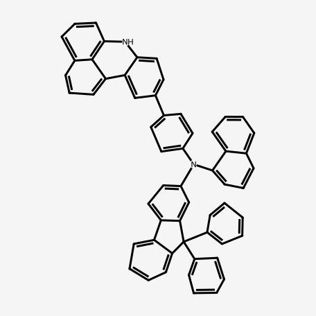 c1ccc(C2(c3ccccc3)c3ccccc3-c3ccc(N(c4ccc(-c5ccc6c(c5)-c5cccc7cccc(c57)N6)cc4)c4cccc5ccccc45)cc32)cc1